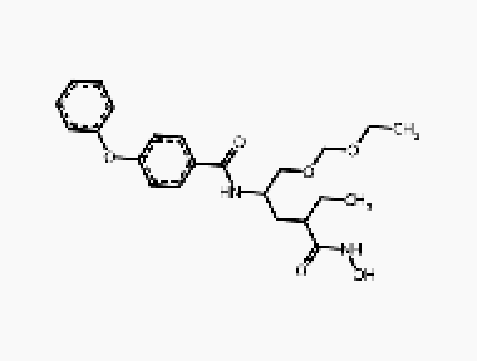 CCOCOCC(CC(CC)C(=O)NO)NC(=O)c1ccc(Oc2ccccc2)cc1